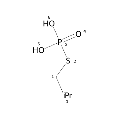 CC(C)CSP(=O)(O)O